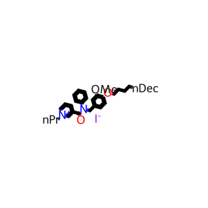 CCCCCCCCCCCCCCOc1ccc(CN(C(=O)c2ccc[n+](CCC)c2)c2ccccc2)cc1OC.[I-]